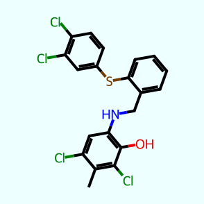 Cc1c(Cl)cc(NCc2ccccc2Sc2ccc(Cl)c(Cl)c2)c(O)c1Cl